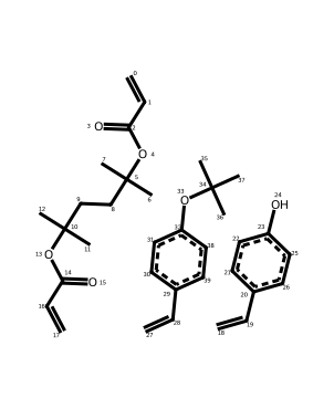 C=CC(=O)OC(C)(C)CCC(C)(C)OC(=O)C=C.C=Cc1ccc(O)cc1.C=Cc1ccc(OC(C)(C)C)cc1